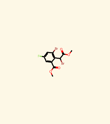 COC(=O)c1cc(F)cc(Br)c1C(Br)C(=O)OC